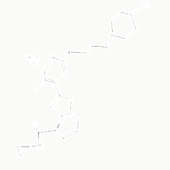 CN1CCN(CCCNc2ncc(Cl)c(-c3cc4c(C(=O)NC5CC5)cccc4s3)n2)CC1.Cl.Cl